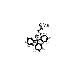 COCCOOC(c1ccccc1)(c1ccccc1)c1ccccc1